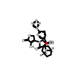 CC1=C(N2CC(O)C3(C[C@H]4CC[C@H](C3)N4C[C@H](O)c3ccc(-n4cnnn4)nc3)C2=O)COC1=O